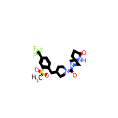 CS(=O)(=O)c1cc(C(F)(F)F)ccc1CC1CCN(C(=O)N2CC3(CCC(=O)N3)C2)CC1